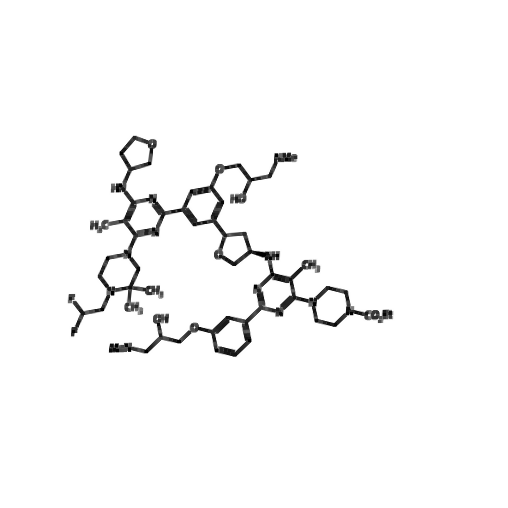 CCOC(=O)N1CCN(c2nc(-c3cccc(OCC(O)CNC)c3)nc(N[C@H]3COC(c4cc(OCC(O)CNC)cc(-c5nc(NC6CCOC6)c(C)c(N6CCN(CC(F)F)C(C)(C)C6)n5)c4)C3)c2C)CC1